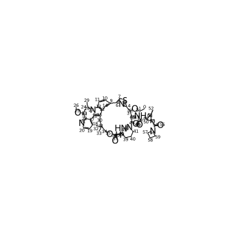 CCO[C@@H]1c2nc(cs2)-c2ccc3c(c2)c(c(-c2cccnc2[C@H](C)OC)n3CC)CC(C)(C)COC(=O)[C@@H]2CCCN(N2)C(=O)[C@H]1NC(=O)[C@@H]1[C@@H](C)[C@H]1C(=O)N1CCC1